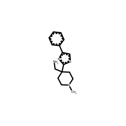 CN1CCC(CN)(c2nc(-c3ccccc3)cs2)CC1